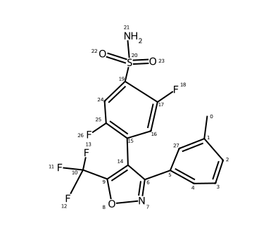 Cc1cccc(-c2noc(C(F)(F)F)c2-c2cc(F)c(S(N)(=O)=O)cc2F)c1